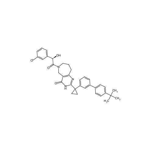 CC(C)(C)c1ccc(-c2cccc(C3(c4nc5c(c(=O)[nH]4)CN(C(=O)[C@H](O)c4cccc(Cl)c4)CCC5)CC3)c2)cc1